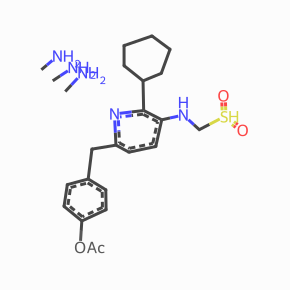 CC(=O)Oc1ccc(Cc2ccc(NC[SH](=O)=O)c(C3CCCCC3)n2)cc1.CN.CN.CN